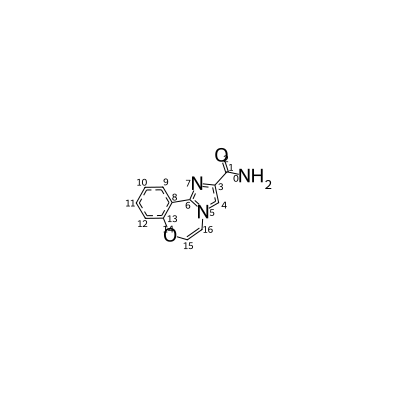 NC(=O)c1cn2c(n1)-c1ccccc1OC=C2